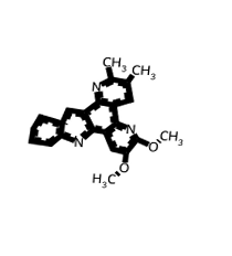 COc1cc2c(nc1OC)c1cc(C)c(C)nc1c1cc3ccccc3nc12